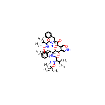 CC(C)[C@H](NOC(C)(C)C)C(=O)N[C@@H](Cc1ccccc1)C(=O)C(=O)C1=CNOC=C1C(=O)C(=O)[C@H](Cc1ccccc1)NC(=O)[C@@H](NOC(C)(C)C)C(C)C